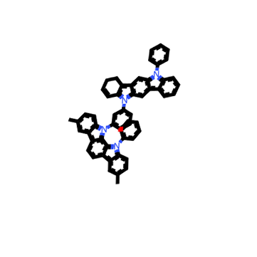 Cc1ccc2c(c1)c1ccc3c4cc(C)ccc4n(-c4cccc(-n5c6c(c7cc8c(cc75)c5ccccc5n8-c5ccccc5)CCC=C6)c4)c3c1n2-c1ccccc1